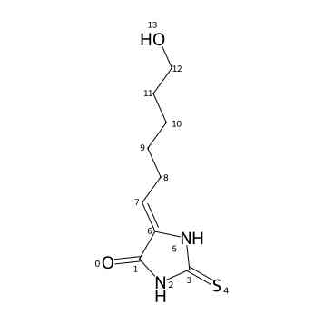 O=C1NC(=S)NC1=CCCCCCO